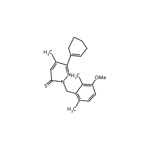 COc1ccc(C)c(Cn2nc(C3=CCCCC3)c(C)cc2=S)c1C